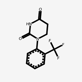 O=C1CCN(c2ccccc2C(F)(F)F)C(=O)N1